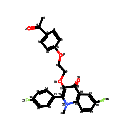 CC(=O)c1ccc(OCCOc2c(-c3ccc(F)cc3)n(C)c3ccc(F)cc3c2=O)cc1